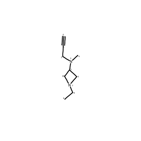 C#CCN(C)C1CN(CC)C1